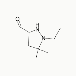 CCN1NC(C=O)CC1(C)C